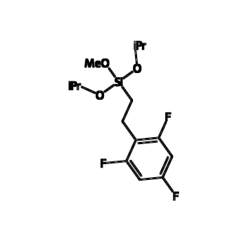 CO[Si](CCc1c(F)cc(F)cc1F)(OC(C)C)OC(C)C